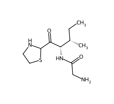 CC[C@H](C)[C@H](NC(=O)CN)C(=O)C1NCCS1